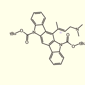 C/C(=C\CN(C)C)c1c2c3ccccc3n(C(=O)OC(C)(C)C)c2cc2c3ccccc3n(C(=O)OC(C)(C)C)c12